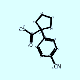 CCC(=O)C1(c2ccc(C#N)cc2)CCCC1